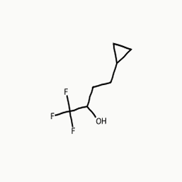 OC(CCC1CC1)C(F)(F)F